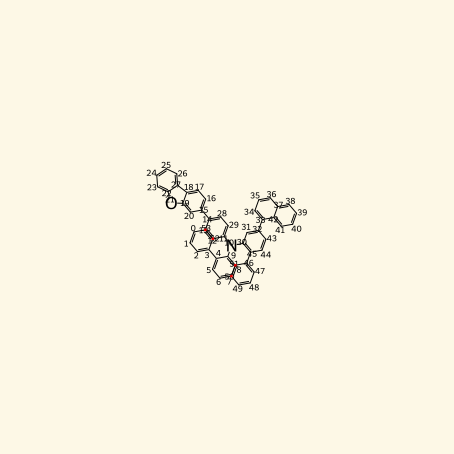 c1ccc(-c2ccccc2N(c2ccc(-c3ccc4c(c3)oc3ccccc34)cc2)c2cc(-c3cccc4ccccc34)ccc2-c2ccccc2)cc1